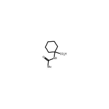 CC(C)(C)C(=O)NC1(C(=O)O)CCCCC1